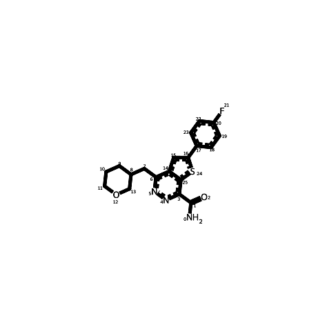 NC(=O)c1nnc(CC2CCCOC2)c2cc(-c3ccc(F)cc3)sc12